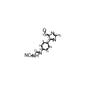 CC1=NC(=S=O)C(c2ccc(N=CNC#N)cc2)=N1